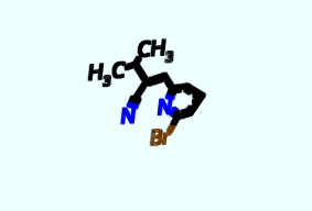 CC(C)/C(C#N)=C/c1cccc(Br)n1